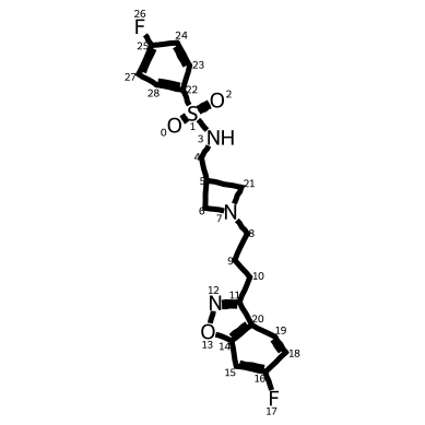 O=S(=O)(NCC1CN(CCCc2noc3cc(F)ccc23)C1)c1ccc(F)cc1